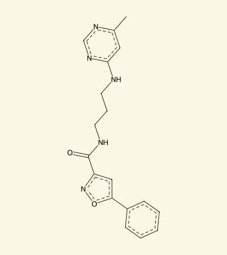 Cc1cc(NCCCNC(=O)c2cc(-c3ccccc3)on2)ncn1